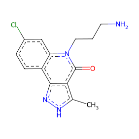 Cc1[nH]nc2c1c(=O)n(CCCN)c1cc(Cl)ccc21